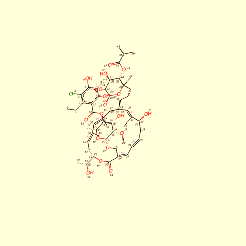 CCc1c(Cl)c(O)c(Cl)c(O)c1C(=O)O[C@H]1[C@H](O)[C@H](OC)[C@H](OC/C2=C\C=C\C[C@H](O)/C(C)=C/[C@H](CC)[C@@H](O[C@@H]3OC(C)(C)[C@@H](OC(=O)C(C)C)[C@H](O)C3O)/C(C)=C/C(C)=C/C[C@@H]([C@@H](C)O)OC2=O)O[C@@H]1C